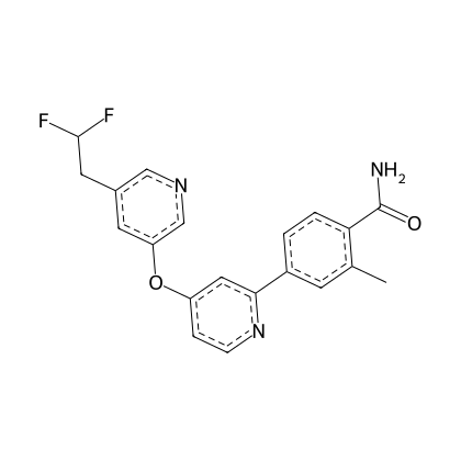 Cc1cc(-c2cc(Oc3cncc(CC(F)F)c3)ccn2)ccc1C(N)=O